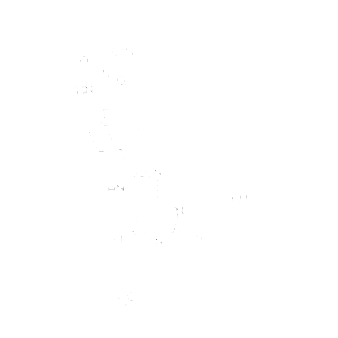 CCCn1c(=O)c2[nH]c(C34CCC(NS(C)(=O)=O)(CC3)CC4)nc2n(CCC)c1=O